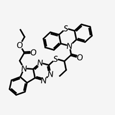 CCOC(=O)Cn1c2ccccc2c2nnc(SC(CC)C(=O)N3c4ccccc4Sc4ccccc43)nc21